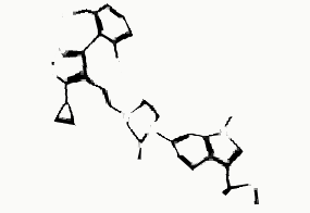 COC(=O)c1cn(C)c2cc(N3CCN(CCc4c(-c5c(Cl)cccc5Cl)noc4C4CC4)C[C@@H]3C)ccc12